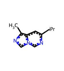 Cc1ncn2cnc(C(C)C)cc12